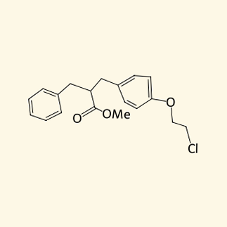 COC(=O)C(Cc1ccccc1)Cc1ccc(OCCCl)cc1